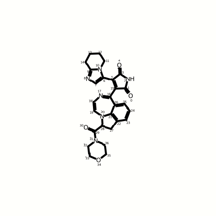 O=C1NC(=O)C(c2cnc3n2CCCC3)=C1C1=NC=CN2c3c(cccc31)CC2C(=O)N1CCOCC1